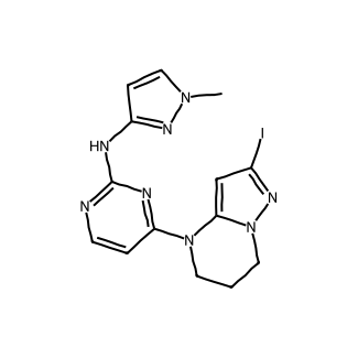 Cn1ccc(Nc2nccc(N3CCCn4nc(I)cc43)n2)n1